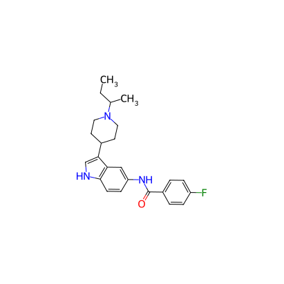 CCC(C)N1CCC(c2c[nH]c3ccc(NC(=O)c4ccc(F)cc4)cc23)CC1